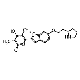 Cc1c(-c2cc3ccc(OCCC4CCCN4)cc3o2)oc(=O)c(C)c1O